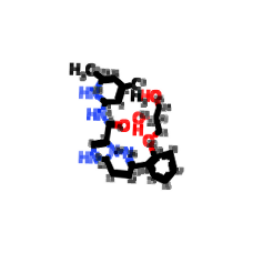 CC1=CC(NC(=O)C2=CNC3C=CC(c4ccccc4OC[C@H](O)CO)=NN23)NC(C)=C1